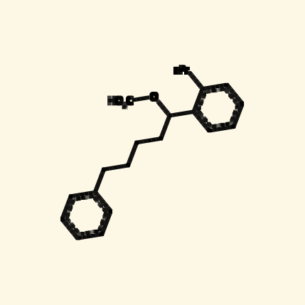 CCCc1ccccc1C(CCCCc1ccccc1)OC(=O)O